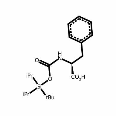 CC(C)[Si](OC(=O)N[C@@H](Cc1ccccc1)C(=O)O)(C(C)C)C(C)(C)C